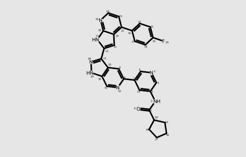 O=C(Nc1cncc(-c2cc3c(-c4cc5c(-c6ccc(F)cc6)ccnc5[nH]4)n[nH]c3cn2)c1)C1CCCC1